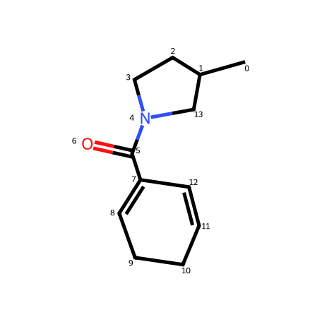 CC1CCN(C(=O)C2=CCCC=C2)C1